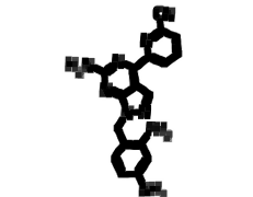 N#Cc1cccc(-c2nc(N)nc3c2cnn3Cc2ccc(N)cc2P)n1